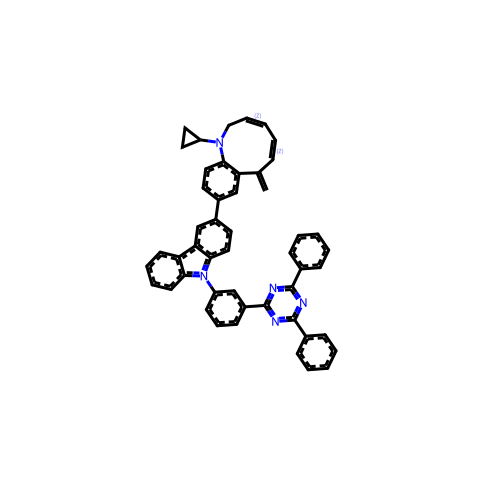 C=C1/C=C\C=C/CN(C2CC2)c2ccc(-c3ccc4c(c3)c3ccccc3n4-c3cccc(-c4nc(-c5ccccc5)nc(-c5ccccc5)n4)c3)cc21